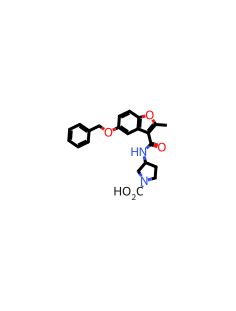 Cc1oc2ccc(OCc3ccccc3)cc2c1C(=O)NC1CCN(C(=O)O)C1